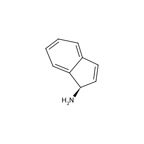 N[C@@H]1C=Cc2ccccc21